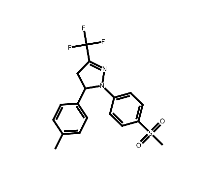 Cc1ccc(C2CC(C(F)(F)F)=NN2c2ccc(S(C)(=O)=O)cc2)cc1